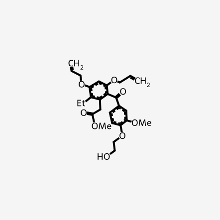 C=CCOc1cc(OCC=C)c(C(=O)c2ccc(OCCO)c(OC)c2)c(CC(=O)OC)c1CC